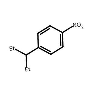 CC[C](CC)c1ccc([N+](=O)[O-])cc1